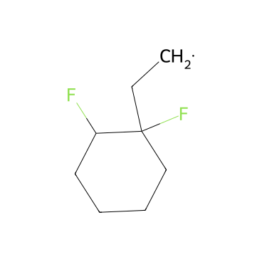 [CH2]CC1(F)CCCCC1F